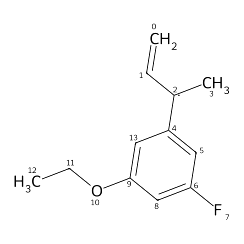 C=C[C](C)c1cc(F)cc(OCC)c1